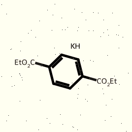 CCOC(=O)c1ccc(C(=O)OCC)cc1.[KH]